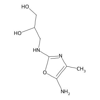 Cc1nc(NCC(O)CO)oc1N